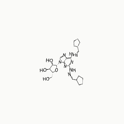 OC[C@H]1O[C@@H](n2cnc3c(N/N=C\C4CCCC4)nc(N/N=C\C4CCCC4)nc32)[C@H](O)[C@@H]1O